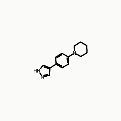 c1cc(N2CCCCC2)ccc1-c1cn[nH]c1